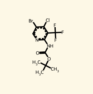 CC(C)(C)OC(=O)Nc1ncc(Br)c(Cl)c1C(F)(F)F